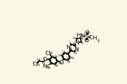 CS(=O)(=O)NC1CN(c2cnc(-c3ccc(Oc4cc(Cl)c(OCCCl)c(C#N)c4)cc3)cn2)C1